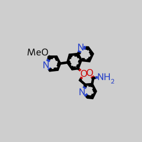 COc1cc(-c2cc(OCc3ncccc3C(N)=O)c3cccnc3c2)ccn1